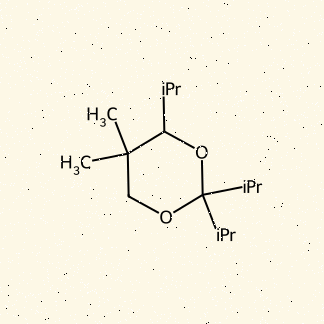 CC(C)C1OC(C(C)C)(C(C)C)OCC1(C)C